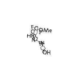 COc1ccc(F)c(Cl)c1[C@H](CF)c1c[nH]c2ncc(-c3cnn(C4CCC(O)CC4)c3)cc12